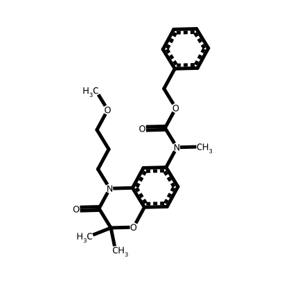 COCCCN1C(=O)C(C)(C)Oc2ccc(N(C)C(=O)OCc3ccccc3)cc21